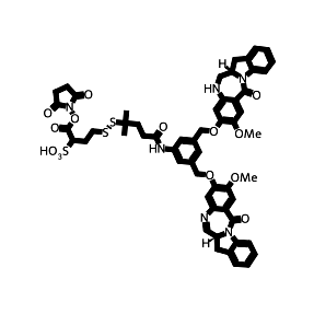 COc1cc2c(cc1OCc1cc(COc3cc4c(cc3OC)C(=O)N3c5ccccc5C[C@H]3CN4)cc(NC(=O)CCC(C)(C)SSCCC(C(=O)ON3C(=O)CCC3=O)S(=O)(=O)O)c1)N=C[C@@H]1Cc3ccccc3N1C2=O